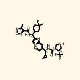 Cc1nonc1C(=O)N[C@H](c1cn2ncc([C@H](NC(=O)[C@@H]3CNC[C@H]3C(F)(F)F)C3CC3)cc2n1)C1CCC(F)(F)CC1